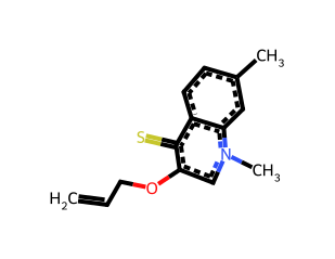 C=CCOc1cn(C)c2cc(C)ccc2c1=S